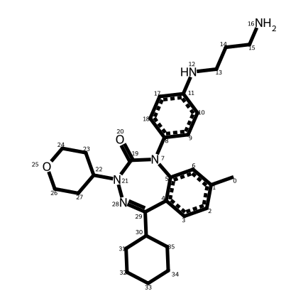 Cc1ccc2c(c1)N(c1ccc(NCCCN)cc1)C(=O)N(C1CCOCC1)N=C2C1CCCCC1